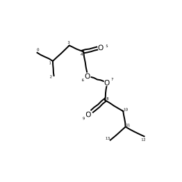 CC(C)CC(=O)OOC(=O)CC(C)C